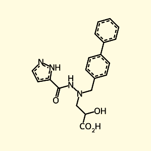 O=C(NN(Cc1ccc(-c2ccccc2)cc1)CC(O)C(=O)O)c1ccn[nH]1